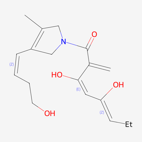 C=C(C(=O)N1CC(C)=C(/C=C\CCO)C1)/C(O)=C\C(O)=C\CC